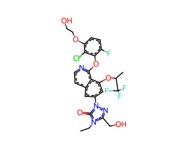 CCn1c(CO)nn(-c2cc(OC(C)C(F)(F)F)c3c(Oc4c(F)ccc(OCCO)c4Cl)nccc3c2)c1=O